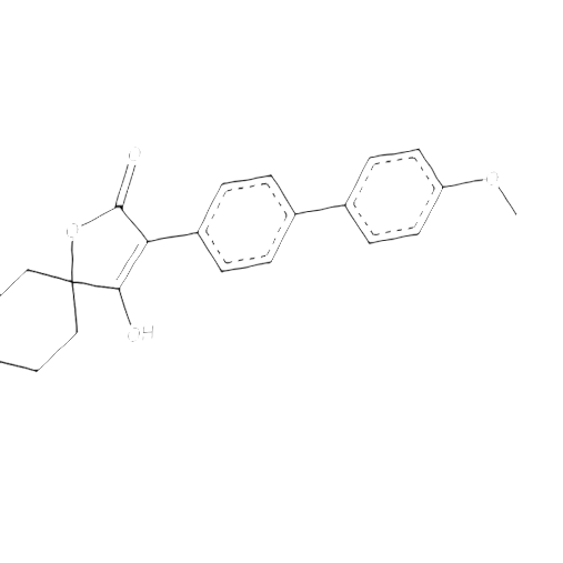 COc1ccc(-c2ccc(C3=C(O)C4(CCCCC4)OC3=O)cc2)cc1